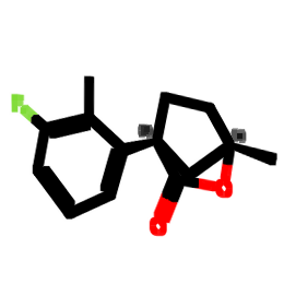 Cc1c(F)cccc1[C@@]12CC[C@@](C)(C1)OC2=O